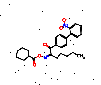 CCCCC/C(=N/OC(=O)C1CCCCC1)C(=O)c1ccc(-c2ccccc2[N+](=O)[O-])cc1